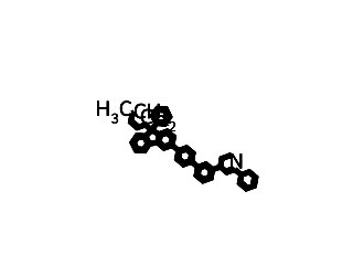 C=C(C)/C=C\C(=C)C1(c2ccccc2)c2ccccc2-c2cc(-c3ccc(-c4cccc(C5C=C(C6C=CC=CC6)N=CC5)c4)cc3)ccc21